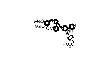 COc1cc(CN2CCC(CCN3CCC(NC(=O)N4CCN(CC(=O)O)CC4)(c4ccncc4)CC3)(c3ccccc3)C2)cc(OC)c1OC